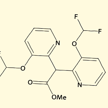 COC(=O)C(c1ncccc1OC(F)F)c1ncccc1OC(F)F